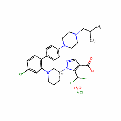 CC(C)CN1CCN(c2ccc(-c3ccc(Cl)cc3N3CCC[C@@H](n4ncc(C(=O)O)c4C(F)F)C3)cc2)CC1.Cl.O